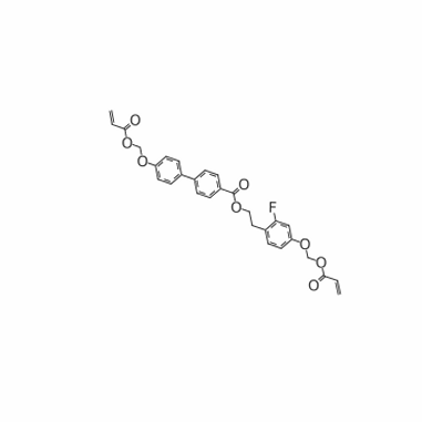 C=CC(=O)OCOc1ccc(-c2ccc(C(=O)OCCc3ccc(OCOC(=O)C=C)cc3F)cc2)cc1